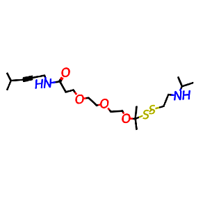 CC(C)C#CCNC(=O)CCOCCOCCOC(C)(C)SSCCNC(C)C